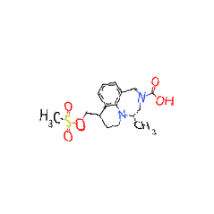 CC1CN(C(=O)O)Cc2cccc3c2N1CCC3COS(C)(=O)=O